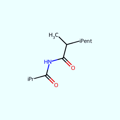 CCCC(C)C(C)C(=O)NC(=O)C(C)C